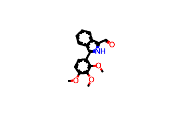 COc1ccc(-c2[nH]c(C=O)c3ccccc23)c(OC)c1OC